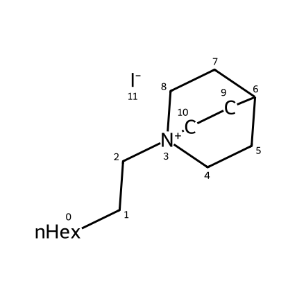 CCCCCCCC[N+]12CCC(CC1)CC2.[I-]